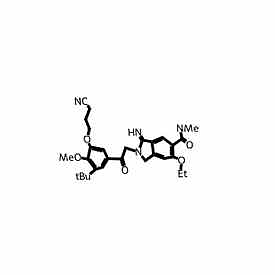 CCOc1cc2c(cc1C(=O)NC)C(=N)N(CC(=O)c1cc(OCCCC#N)c(OC)c(C(C)(C)C)c1)C2